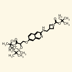 CC(C)(C)OC(=O)C(COc1ccc2cc(NCC3CN(C(=O)OC(C)(C)C)C3)ncc2c1)O[Si](C)(C)C(C)(C)C